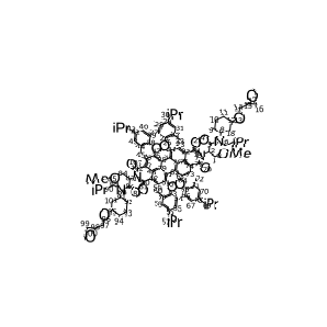 COCC(C(=O)N(CC(C)C)C1CCCC(OCC2CO2)C1)N1C(=O)c2cc(Oc3ccc(C(C)C)cc3C)c3c4c(Oc5ccc(C(C)C)cc5C)cc5c6c(cc(Oc7ccc(C(C)C)cc7C)c(c7c(Oc8ccc(C(C)C)cc8C)cc(c2c37)C1=O)c64)C(=O)N(C(COC)C(=O)N(CC(C)C)C1CCCC(OCC2CO2)C1)C5=O